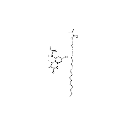 C=C(C)C(=O)OCCCCCCCCCCCCCCCCCC.C=CC(=O)Nc1cc(O)cc2oc(=O)c(C)c(C)c12